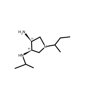 CCC(C)N1C[C@H](N)[C@H](NC(C)C)C1